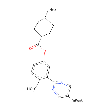 CCCCCCC1CCC(C(=O)Oc2ccc(C(=O)O)c(-c3ncc(CCCCC)cn3)c2)CC1